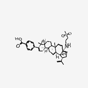 C=C(C)[C@@H]1CC[C@]2(NCCS(C)(=O)=O)CC[C@]3(C)[C@H](CC[C@@H]4[C@@]5(C)CC=C(c6ccc(C(=O)O)cc6)C(C)(C)[C@@H]5CC[C@]43C)[C@@H]12